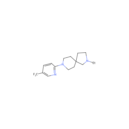 CCN1CCC2(CCN(c3ccc(C(F)(F)F)cn3)CC2)C1